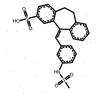 CS(=O)(=O)Nc1cccc(C=C2c3ccccc3CCc3ccc(S(=O)(=O)O)cc32)c1